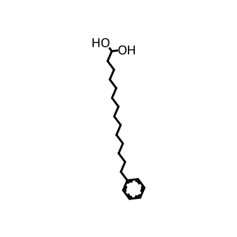 OC(O)CCCCCCCCCCCCCc1ccccc1